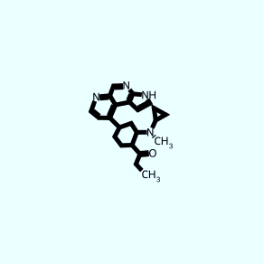 CCC(=O)C1CCC(c2ccnc3cnc4[nH]ccc4c23)CC1N(C)C1CC1